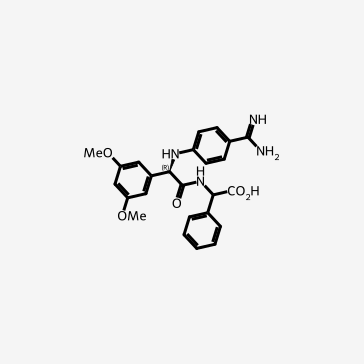 COc1cc(OC)cc([C@@H](Nc2ccc(C(=N)N)cc2)C(=O)NC(C(=O)O)c2ccccc2)c1